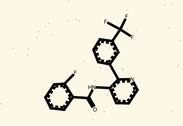 O=C(Nc1cccnc1-c1cccc(C(F)(F)F)c1)c1ccccc1F